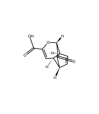 O=C(O)C1=C[C@H]2[C@@H]3C=C[C@H]2C(=O)O[C@@H]3O1